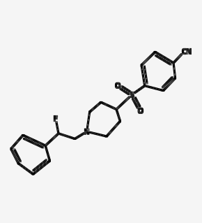 N#Cc1ccc(S(=O)(=O)C2CCN(CC(F)c3ccccc3)CC2)cc1